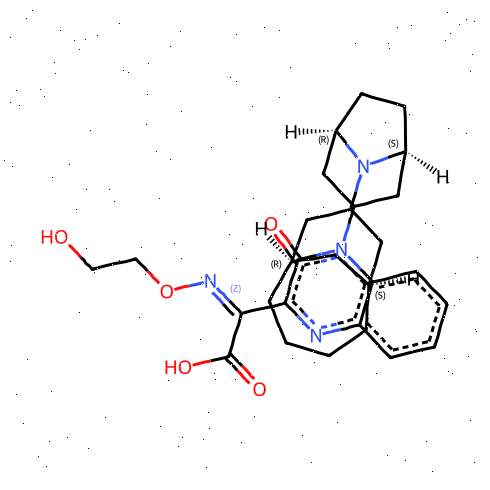 O=C(O)/C(=N\OCCO)c1nc2ccccc2n(C2C[C@H]3CC[C@@H](C2)N3C2C[C@H]3CCCC[C@@H](C2)C3)c1=O